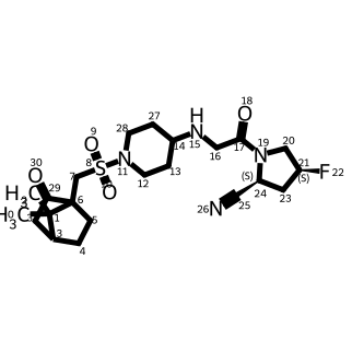 CC1(C)C2CCC1(CS(=O)(=O)N1CCC(NCC(=O)N3C[C@@H](F)C[C@H]3C#N)CC1)C(=O)C2